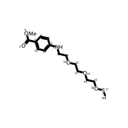 COC(=O)c1ccc(NCCOCCOCCOSI)cc1